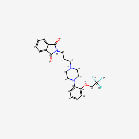 O=C1c2ccccc2C(=O)N1CCCN1CCN(c2ccccc2OCC(F)(F)F)CC1